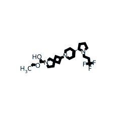 CCOC(O)N1CCC2(CC(N3CC=C([C@@H]4CCCN4CCC(F)(F)F)CC3)C2)C1